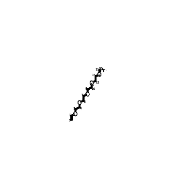 C=COCCOCCOCCOCCO[C](C)C